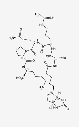 CCCC[C@H](NC(=O)CCCC[C@@H]1SC[C@@H]2NC(=O)N[C@@H]21)C(=O)N[C@@H](CCCNC(=N)N)C(=O)N[C@@H](CCC(N)=O)C(=O)N1CCC[C@H]1C(=O)N[C@@H](CCCCN)C(=O)O